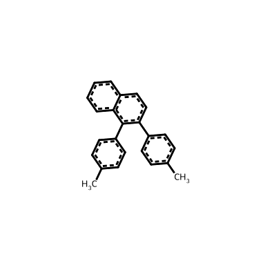 Cc1ccc(-c2ccc3ccccc3c2-c2ccc(C)cc2)cc1